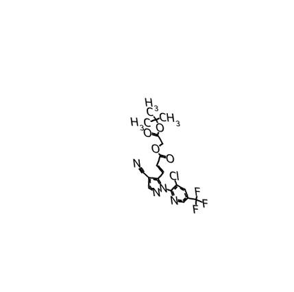 CC(C)(C)OC(=O)COC(=O)/C=C/c1c(C#N)cnn1-c1ncc(C(F)(F)F)cc1Cl